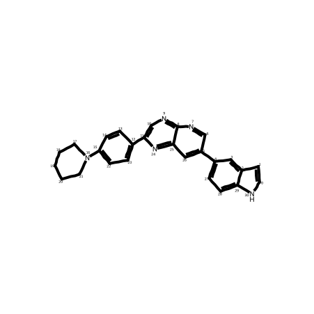 c1cc2cc(-c3cnc4ncc(-c5ccc(N6CCCCC6)cc5)nc4c3)ccc2[nH]1